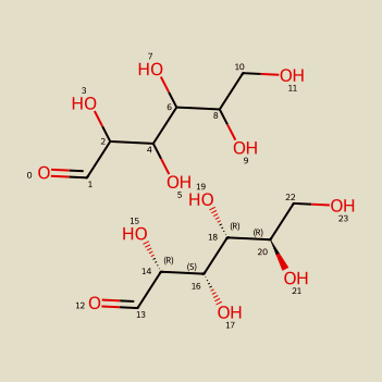 O=CC(O)C(O)C(O)C(O)CO.O=C[C@H](O)[C@@H](O)[C@H](O)[C@H](O)CO